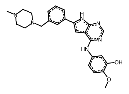 COc1ccc(Nc2ncnc3[nH]c(-c4cccc(CN5CCN(C)CC5)c4)cc23)cc1O